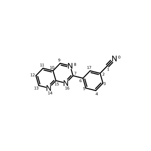 N#Cc1cccc(-c2ncc3cccnc3n2)c1